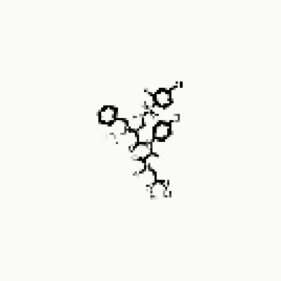 CCOC(CN(C(=O)C(C)N(C(=O)C(CNS(=O)(=O)c1ccc(Cl)cc1F)N(Cc1ccccc1)C(=O)O)c1ccc(Cl)cc1)C(C)C)OCC